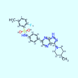 Cc1ccc(F)c(S(=O)(=O)Nc2ccc(-c3cnc4c(N5CCC(C)CC5)n[nH]c4n3)cc2)c1